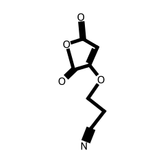 N#CCCOC1=CC(=O)OC1=O